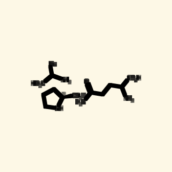 CCC(C)C(N)C(=O)O.NC(=O)CCC(N)C(=O)O.O=C(O)[C@@H]1CCCN1